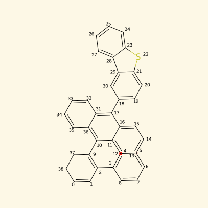 C1=CC(c2ccccc2)=C(c2c3ccccc3c(-c3ccc4sc5ccccc5c4c3)c3ccccc23)CC1